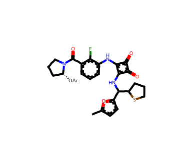 CC(=O)O[C@@H]1CCCN1C(=O)c1cccc(Nc2c(NC(c3ccc(C)o3)C3CCCS3)c(=O)c2=O)c1F